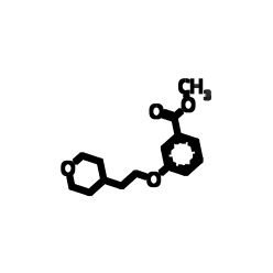 COC(=O)c1cccc(OCCC2CCOCC2)c1